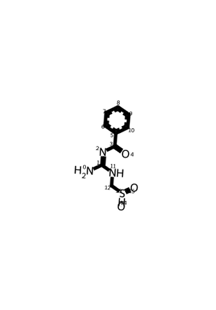 NC(=NC(=O)c1ccccc1)NC[SH](=O)=O